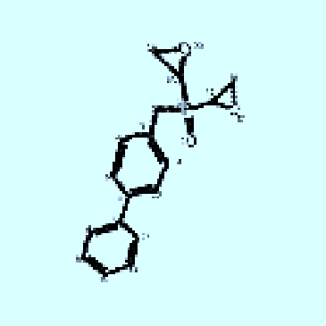 O=P(Cc1ccc(-c2ccccc2)cc1)(C1CO1)C1CO1